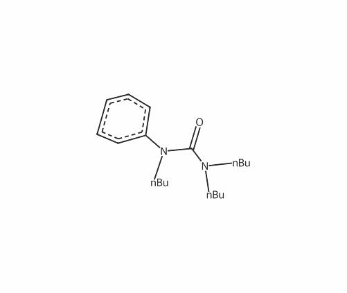 CCCCN(CCCC)C(=O)N(CCCC)c1ccccc1